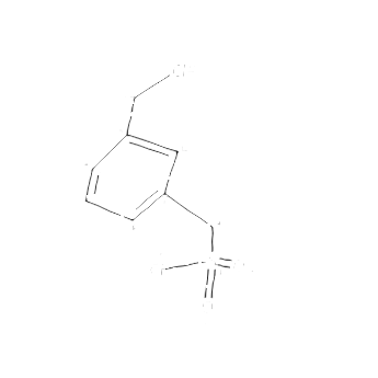 O=S(=O)(Cl)Cc1cccc(CCl)c1